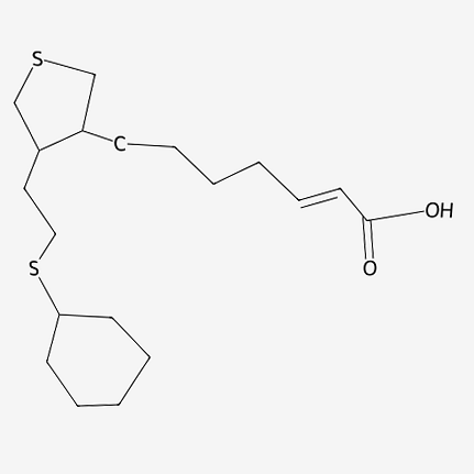 O=C(O)C=CCCCCC1CSCC1CCSC1CCCCC1